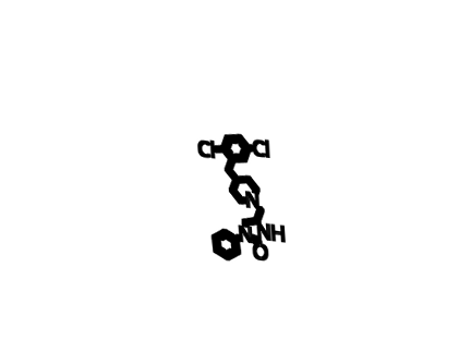 O=C1NC(CN2CCC(Cc3cc(Cl)ccc3Cl)CC2)CN1c1ccccc1